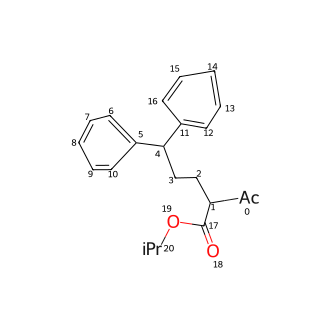 CC(=O)C(CCC(c1ccccc1)c1ccccc1)C(=O)OC(C)C